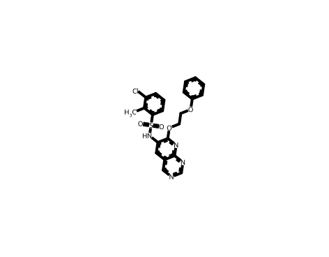 Cc1c(Cl)cccc1S(=O)(=O)Nc1cc2cncnc2nc1OCCOc1ccccc1